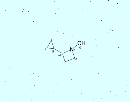 ON1CCC1C1CC1